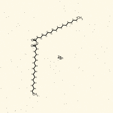 CCCCCCCCCCCCCCCCCC(=O)OC(=O)CCCCCCCCCCCCCCCCC.[Zn].[Zn]